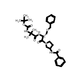 CC(C)(C)OC(=O)NC(C)(C)C(=O)N[C@H](COCc1ccccc1)C(=O)N1CCC(NC(=O)c2ccccc2)C1